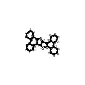 c1ccc2c(c1)c1ccccc1c1c2sc2c1sc1c3ccccc3c3ccccc3c12